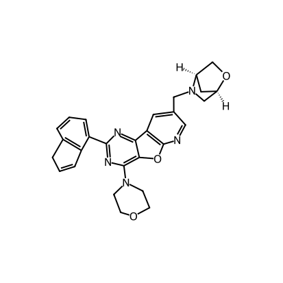 C1=Cc2c(cccc2-c2nc(N3CCOCC3)c3oc4ncc(CN5C[C@H]6C[C@@H]5CO6)cc4c3n2)C1